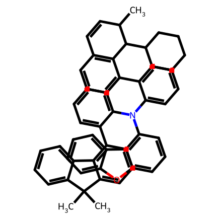 CC1C=Cc2cccc(-c3ccccc3N(c3ccccc3-c3cccc4c3-c3ccccc3C4(C)C)c3cccc4oc5ccccc5c34)c2C1C1CCCCC1